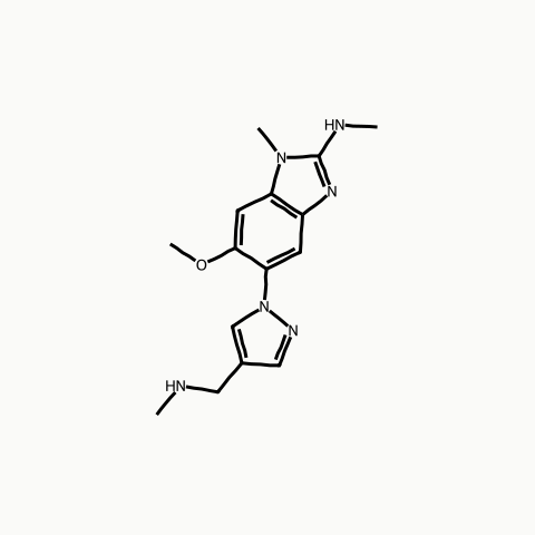 CNCc1cnn(-c2cc3nc(NC)n(C)c3cc2OC)c1